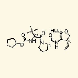 C=C[C@@H]1COB(O)C1NC(=O)[C@@H]1CCCN1C(=O)[C@@H](NC(=O)OC1CCCC1)C(C)(C)C